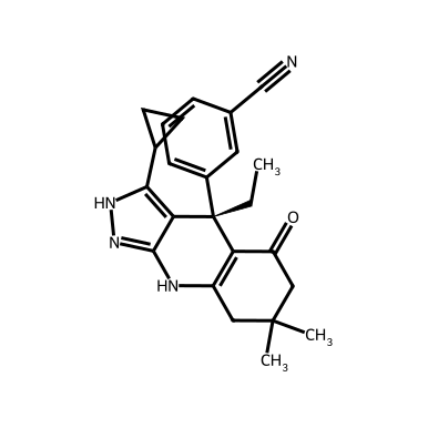 CC[C@@]1(c2cccc(C#N)c2)C2=C(CC(C)(C)CC2=O)Nc2n[nH]c(C3CC3)c21